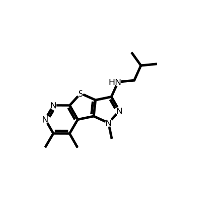 Cc1nnc2sc3c(NCC(C)C)nn(C)c3c2c1C